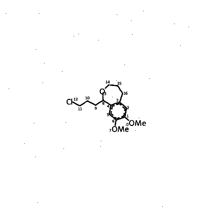 COc1cc2c(cc1OC)C(CCCCl)OCCC2